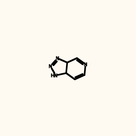 C1=CC2NN=NC2C=N1